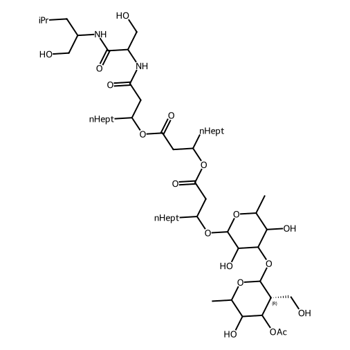 CCCCCCCC(CC(=O)NC(CO)C(=O)NC(CO)CC(C)C)OC(=O)CC(CCCCCCC)OC(=O)CC(CCCCCCC)OC1OC(C)C(O)C(OC2OC(C)C(O)C(OC(C)=O)[C@H]2CO)C1O